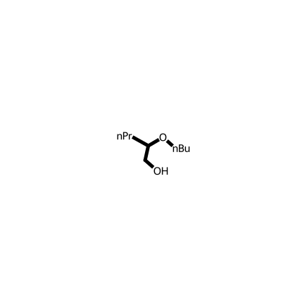 [CH2]CCC(CO)OCCCC